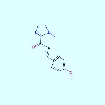 COc1ccc(/C=C/C(=O)c2nccn2C)cc1